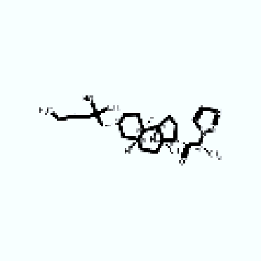 CCCCC(C)(O)C[C@@H]1CC[C@@H]2[C@H](CC[C@]3(C)[C@@H](C(=O)[C@@H](C)n4ccnn4)CC[C@@H]23)C1